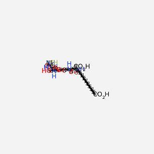 NC(=O)[C@H](CS)NC(=O)[C@H](CO)NC(=O)COCCOCCNC(=O)CC[C@H](NC(=O)CCCCCCCCCCCCCCCCC(=O)O)C(=O)O